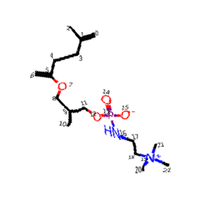 C=C(C)CCC(=C)OCC(C)COP(=O)([O-])NCC[N+](C)(C)C